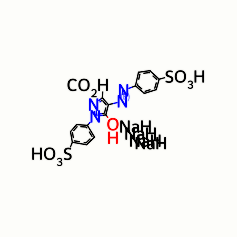 O=C(O)c1nn(-c2ccc(S(=O)(=O)O)cc2)c(O)c1/N=N/c1ccc(S(=O)(=O)O)cc1.[NaH].[NaH].[NaH].[NaH]